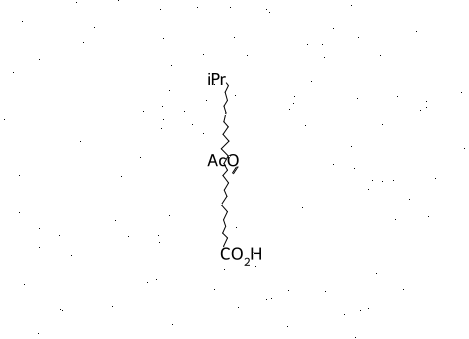 C=COC(C)=O.CC(C)CCCCCCCCCCCCCCCCCCCCCCCCC(=O)O